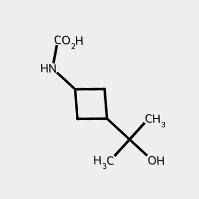 CC(C)(O)C1CC(NC(=O)O)C1